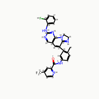 Cc1ccc(NC(=O)c2cc(C(F)(F)F)ccn2)cc1C1=Cc2cnc(Nc3ccccc3F)nc2N2CCN=C12